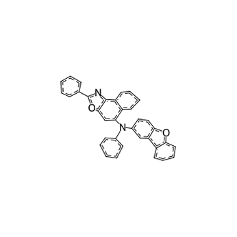 c1ccc(-c2nc3c(cc(N(c4ccccc4)c4ccc5oc6ccccc6c5c4)c4ccccc43)o2)cc1